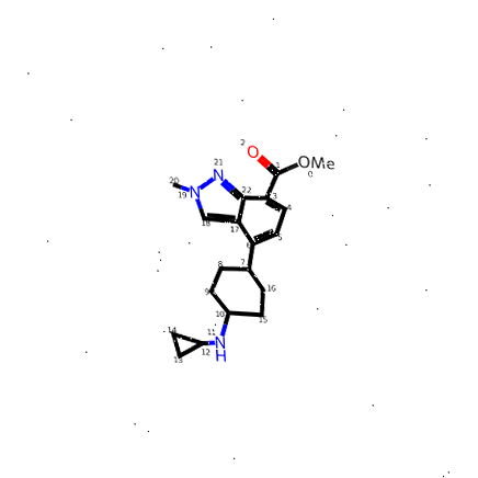 COC(=O)c1ccc(C2CCC(NC3CC3)CC2)c2cn(C)nc12